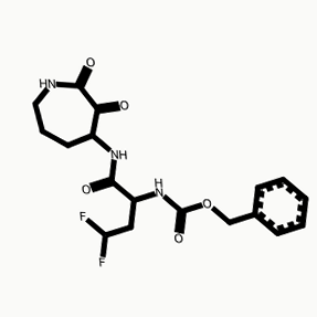 O=C(NC(CC(F)F)C(=O)NC1CCCNC(=O)C1=O)OCc1ccccc1